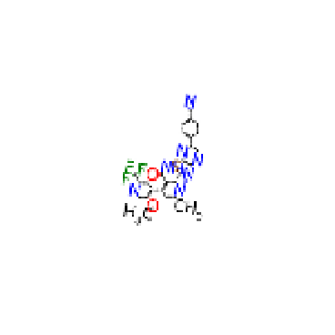 COc1cnc(C(F)(F)F)cc1-c1cc(C)nc(-c2nc3ncc(-c4ccc(C#N)cc4)nc3s2)c1C(N)=O